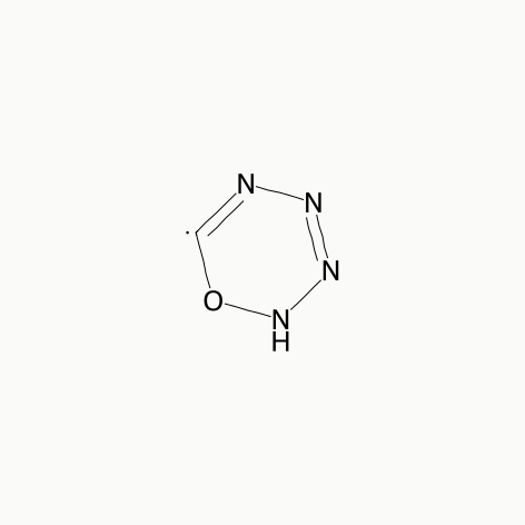 [C]1=NN=NNO1